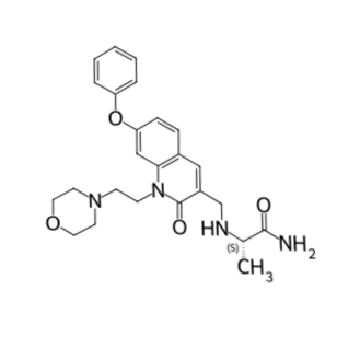 C[C@H](NCc1cc2ccc(Oc3ccccc3)cc2n(CCN2CCOCC2)c1=O)C(N)=O